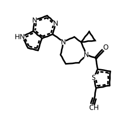 C#Cc1ccc(C(=O)N2CCCN(c3ncnc4[nH]ccc34)CC23CC3)s1